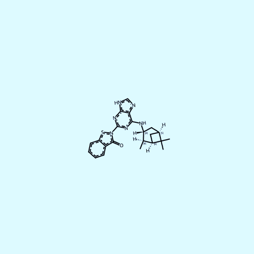 C[C@@H]1[C@H]2C[C@@H](C[C@H]1Nc1nc(-n3sc4ccccc4c3=O)nc3[nH]cnc13)C2(C)C